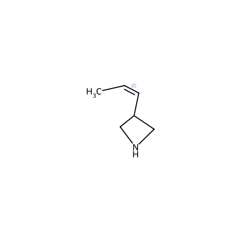 C/C=C\C1CNC1